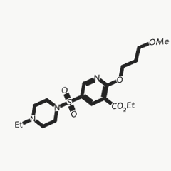 CCOC(=O)c1cc(S(=O)(=O)N2CCN(CC)CC2)cnc1OCCCOC